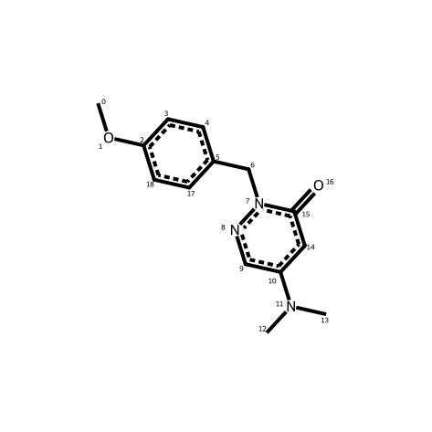 COc1ccc(Cn2ncc(N(C)C)cc2=O)cc1